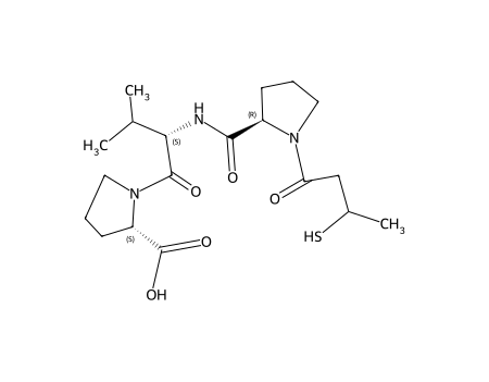 CC(S)CC(=O)N1CCC[C@@H]1C(=O)N[C@H](C(=O)N1CCC[C@H]1C(=O)O)C(C)C